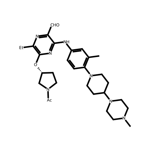 CCc1nc(C=O)c(Nc2ccc(N3CCC(N4CCN(C)CC4)CC3)c(C)c2)nc1O[C@@H]1CCN(C(C)=O)C1